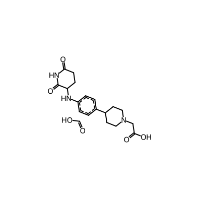 O=C(O)CN1CCC(c2ccc(NC3CCC(=O)NC3=O)cc2)CC1.O=CO